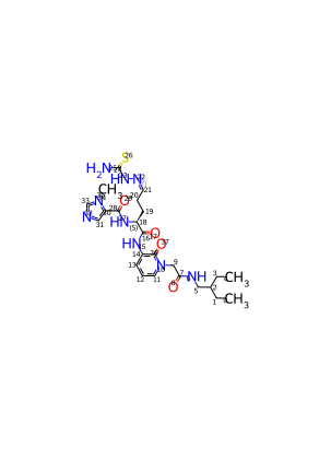 CCC(CC)CNC(=O)Cn1cccc(NC(=O)[C@H](CC/C=N\NC(N)=S)NC(=O)c2cncn2C)c1=O